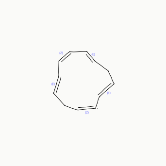 [C]1=C\C/C=C/C=C\C=C\C/C=C/1